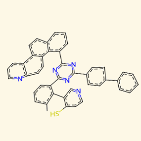 Cc1cccc(-c2nc(-c3ccc(-c4ccccc4)cc3)nc(-c3cccc4ccc5c6cccnc6ccc5c34)n2)c1-c1cnccc1S